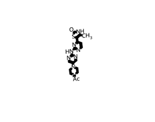 CC(=O)N1CCN(c2cnc(Nc3nccc(-c4sc(=O)[nH]c4C)n3)nc2)CC1